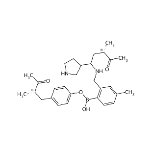 CC(=O)[C@@H](C)Cc1ccc(OB(O)c2ccc(C)cc2CNC(C[C@H](C)C(C)=O)C2CCNC2)cc1